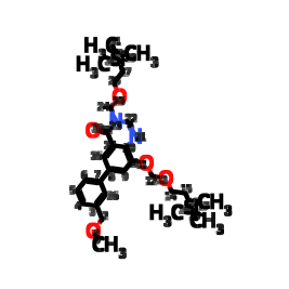 COCc1cccc(-c2cc(OCOCC[Si](C)(C)C)c3ncn(COCC[Si](C)(C)C)c(=O)c3c2)c1